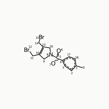 Cc1ccc(S(=O)(=O)N2CC(CBr)=C(CBr)C2)cc1